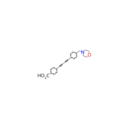 O=C(O)c1ccc(C#CC#Cc2ccc(CN3CCOCC3)cc2)cc1